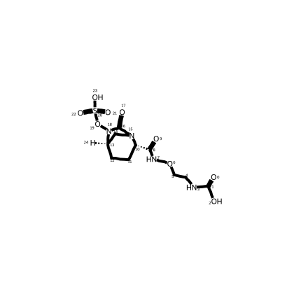 O=C(O)NCCONC(=O)[C@@H]1CC[C@@H]2CN1C(=O)N2OS(=O)(=O)O